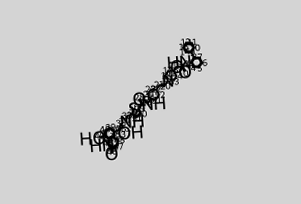 O=C(Nc1ccccc1-c1ccccc1)OC1CCN(CCC2CCC(NC(=O)c3ccc(CNC[C@H](O)c4ccc(O)c5[nH]c(=O)ccc45)s3)CC2)CC1